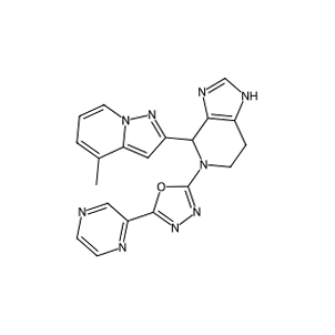 Cc1cccn2nc(C3c4nc[nH]c4CCN3c3nnc(-c4cnccn4)o3)cc12